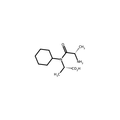 C[C@H](N)C(=O)N(C1CCCCC1)[C@@H](C)C(=O)O